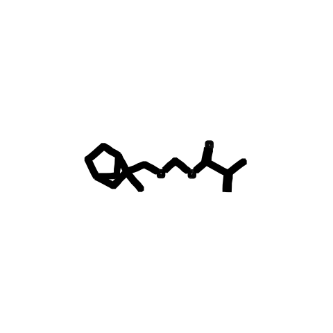 C=C(C)C(=O)OCOCC1(C)CC2CCC1C2